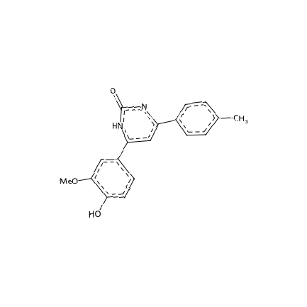 COc1cc(-c2cc(-c3ccc(C)cc3)nc(=O)[nH]2)ccc1O